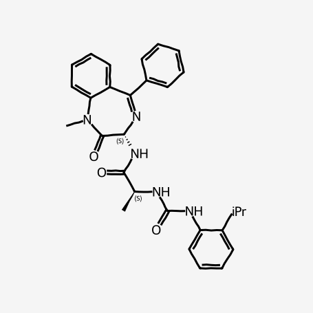 CC(C)c1ccccc1NC(=O)N[C@@H](C)C(=O)N[C@H]1N=C(c2ccccc2)c2ccccc2N(C)C1=O